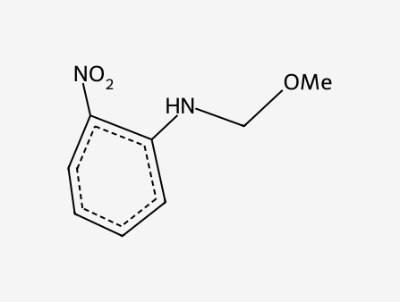 COCNc1ccccc1[N+](=O)[O-]